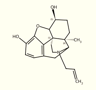 C=CCN1CC[C@]23c4c5ccc(O)c4OC2[C@@H](O)CC[C@@]3(C)C1C5